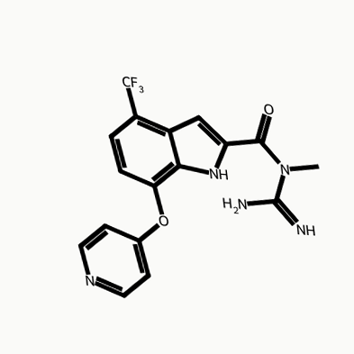 CN(C(=N)N)C(=O)c1cc2c(C(F)(F)F)ccc(Oc3ccncc3)c2[nH]1